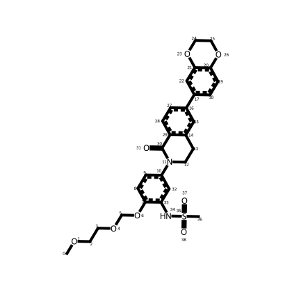 COCCOCOc1ccc(N2CCc3cc(-c4ccc5c(c4)OCCO5)ccc3C2=O)cc1NS(C)(=O)=O